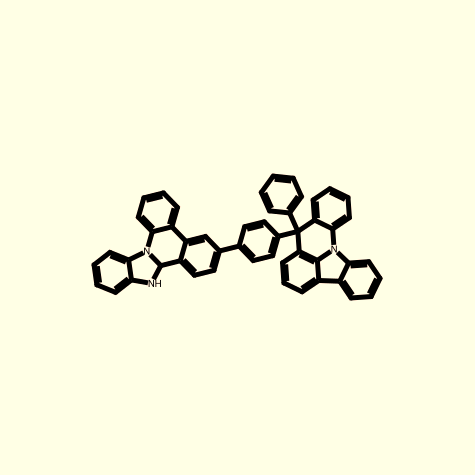 c1ccc(C2(c3ccc(-c4ccc5c(c4)-c4ccccc4N4c6ccccc6NC54)cc3)c3ccccc3-n3c4ccccc4c4cccc2c43)cc1